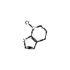 [O-][S+]1CCCc2ccsc21